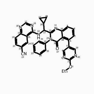 CCOc1ncc(-c2cccc3nc(C(Nc4ncnc5ccc(C#N)cc45)C4CC4)n(-c4ccccc4)c(=O)c23)cn1